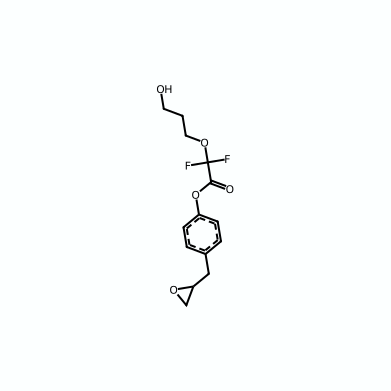 O=C(Oc1ccc(CC2CO2)cc1)C(F)(F)OCCCO